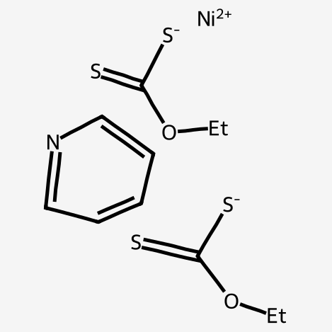 CCOC(=S)[S-].CCOC(=S)[S-].[Ni+2].c1ccncc1